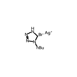 CCCCN1CNN=N1.[Ag+].[Br-]